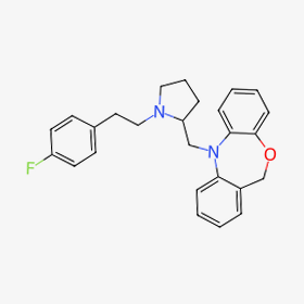 Fc1ccc(CCN2CCCC2CN2c3ccccc3COc3ccccc32)cc1